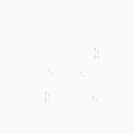 c1cnc2c(c1)CCCC2N(Cc1nc2ccccc2[nH]1)CC1CCCCN1